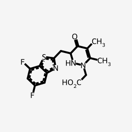 CC1=C(C)N(CC(=O)O)NC(Cc2nc3cc(F)cc(F)c3s2)C1=O